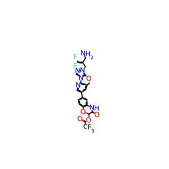 Cc1cc(-c2ccc3c(c2)NC(=O)C(OC(=O)C(F)(F)F)O3)cnc1-n1cnn(CC(CN)=C(F)F)c1=O